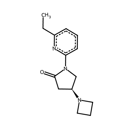 CCc1cccc(N2C[C@@H](N3CCC3)CC2=O)n1